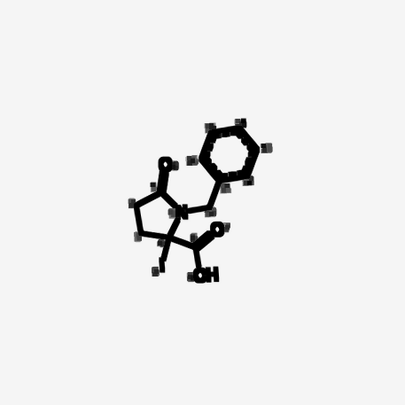 O=C1CCC(I)(C(=O)O)N1Cc1ccccc1